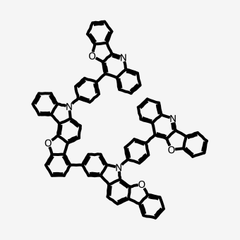 c1ccc2c(-c3ccc(-n4c5ccccc5c5c6oc7cccc(-c8ccc9c(c8)c8ccc%10c%11ccccc%11oc%10c8n9-c8ccc(-c9c%10ccccc%10nc%10c9oc9ccccc9%10)cc8)c7c6ccc54)cc3)c3oc4ccccc4c3nc2c1